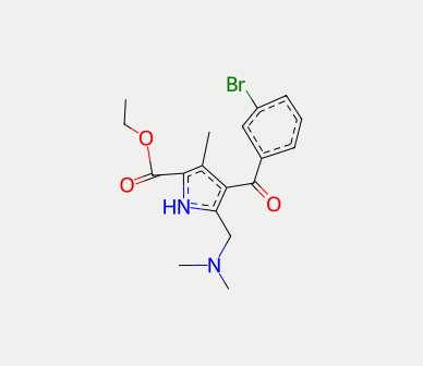 CCOC(=O)c1[nH]c(CN(C)C)c(C(=O)c2cccc(Br)c2)c1C